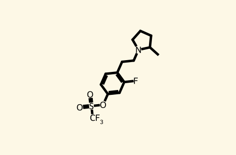 CC1CCCN1CCc1ccc(OS(=O)(=O)C(F)(F)F)cc1F